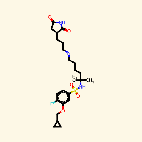 CC(C)(CCCCNCCCC1CC(=O)NC1=O)NS(=O)(=O)c1ccc(F)c(OCC2CC2)c1